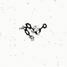 O=C(NC1=COC=C(C2=CC=CCC2)O1)c1cccc(-c2n[nH]c3ccc(-c4nc[nH]n4)cc23)c1